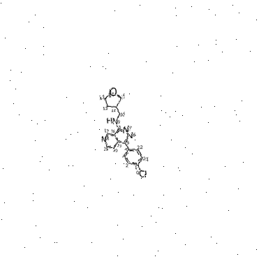 Clc1ccc(-c2nnc(NCC3CCOC3)c3cnccc23)cc1